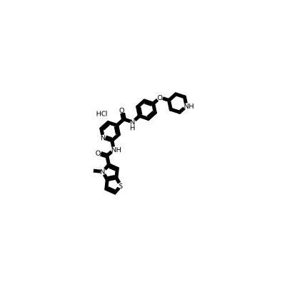 Cl.Cn1c(C(=O)Nc2cc(C(=O)Nc3ccc(OC4CCNCC4)cc3)ccn2)cc2sccc21